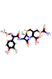 CO/N=C(/C(=O)NC1C(=O)N2C(C(=O)O)=C(COC(N)=O)CS[C@H]12)c1ccc(O)c(Cl)c1